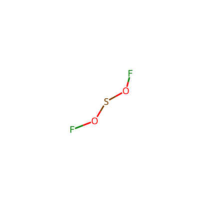 FOSOF